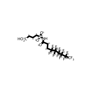 O=C(O)CCCS(=O)(=O)NC(=O)CCC(F)(F)C(F)(F)C(F)(F)C(F)(F)C(F)(F)C(F)(F)F